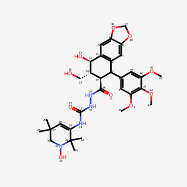 COc1cc(C2c3cc4c(cc3[C@H](O)[C@@H](CO)[C@@H]2C(=O)NNC(=O)NC2=CC(C)(C)CN(O)C2(C)C)OCO4)cc(OC)c1OC